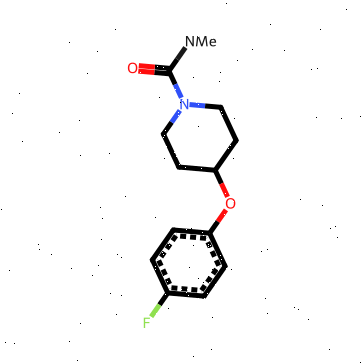 CNC(=O)N1CCC(Oc2ccc(F)cc2)CC1